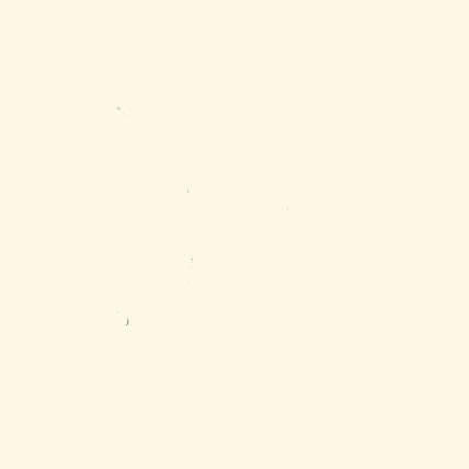 CC(=O)OCC1OC(OC(C)=O)CC1OC(C)=O